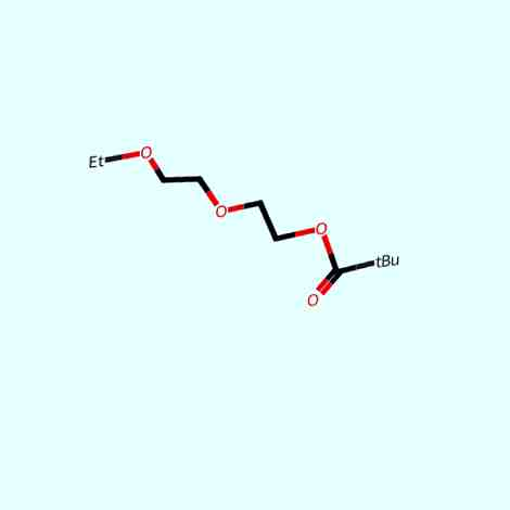 CCOCCOCCOC(=O)C(C)(C)C